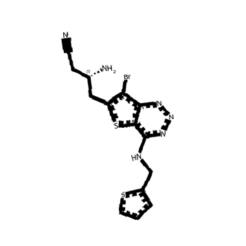 N#CC[C@H](N)Cc1sc2c(NCc3cccs3)nnnc2c1Br